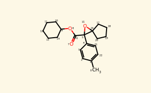 Cc1ccc(C2(C(=O)OC3CCCCC3)OC23CCCC3)cc1